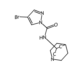 O=C(NC1CC2CCN(CC2)C1)n1cc(Br)cn1